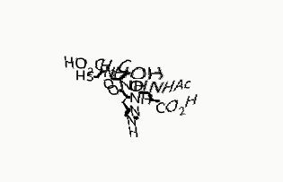 CC(=O)N[C@@H](CCC(=O)O)C(=O)N[C@@H](Cc1c[nH]cn1)C(=O)N[C@H](C(=O)N[C@@H](CS)C(=O)O)[C@@H](C)O